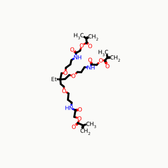 C=C(C)C(=O)OCC(=O)NCCCOCCC(CC)(CCOCCCNC(=O)COC(=O)C(=C)C)COCCCNC(=O)COC(=O)C(=C)C